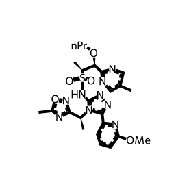 CCCO[C@@H](c1ncc(C)cn1)[C@H](C)S(=O)(=O)Nc1nnc(-c2cccc(OC)n2)n1[C@@H](C)c1noc(C)n1